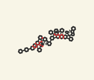 c1ccc(-c2ccc(-c3ccc(N(c4ccc5c(c4)C4(c6ccccc6-5)c5ccccc5-n5c6cccc(-c7ccc8c(c7)-c7ccc(N(c9ccc%10c(c9)C9(c%11ccccc%11-%10)c%10ccccc%10-n%10c%11ccccc%11c%11cccc9c%11%10)c9ccccc9-c9ccccc9-c9ccccc9)cc7C8(c7ccccc7)c7ccccc7)c6c6cccc4c65)c4ccccc4-c4ccccc4-c4ccccc4)cc3)cc2)cc1